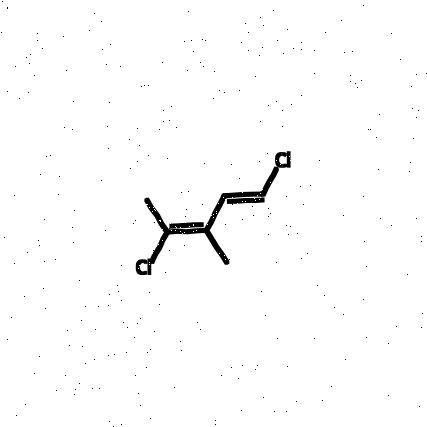 C/C(Cl)=C(C)\C=C\Cl